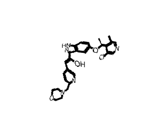 Cc1cncc(Cl)c1[C@H](C)Oc1ccc2[nH]nc(/C(O)=C/c3ccc(CN4CCOCC4)nc3)c2c1